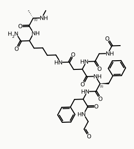 CN[C@@H](C)C(=O)NC(CCCCNC(=O)CC(NC(=O)CNC(C)=O)C(=O)N[C@@H](Cc1ccccc1)C(=O)NC(Cc1ccccc1)C(=O)NCC=O)C(N)=O